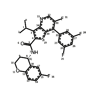 CC(C)c1c(C(=O)N[C@H]2CCOc3ccc(F)cc32)sc2c(-c3cc(F)cc(F)c3)c(F)cnc12